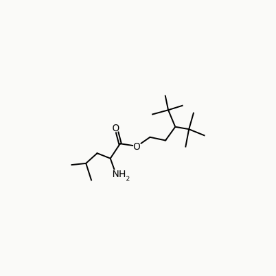 CC(C)CC(N)C(=O)OCCC(C(C)(C)C)C(C)(C)C